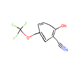 N#Cc1cc(OC(F)(F)F)ccc1O